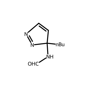 CCCCC1(NC=O)C=CN=N1